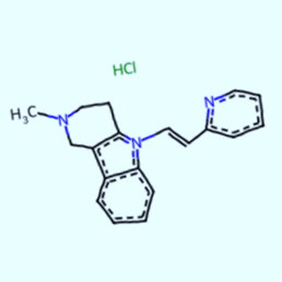 CN1CCc2c(c3ccccc3n2C=Cc2ccccn2)C1.Cl